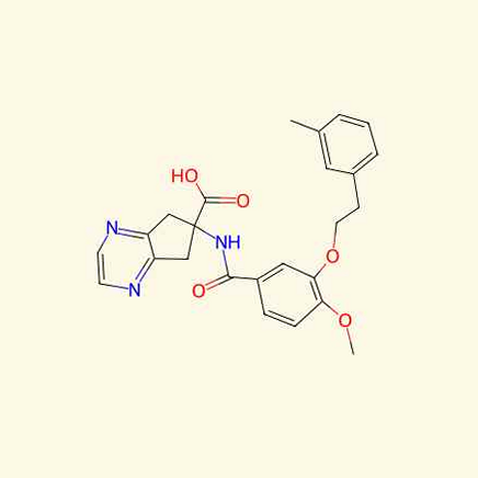 COc1ccc(C(=O)NC2(C(=O)O)Cc3nccnc3C2)cc1OCCc1cccc(C)c1